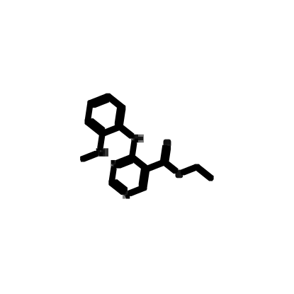 CCOC(=O)c1cncnc1Nc1ccccc1NC